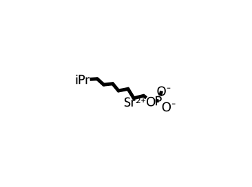 CC(C)CCCCCCCOP([O-])[O-].[Sr+2]